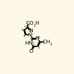 Cc1cc(=O)[nH]c(-n2ccc(C(=O)O)n2)n1